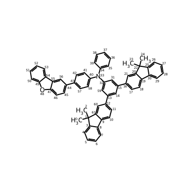 CC1(C)c2ccccc2-c2ccc(-c3cc(-c4ccc5c(c4)C(C)(C)c4ccccc4-5)cc(N(c4ccccc4)c4ccc(-c5ccc6oc7ccccc7c6c5)cc4)c3)cc21